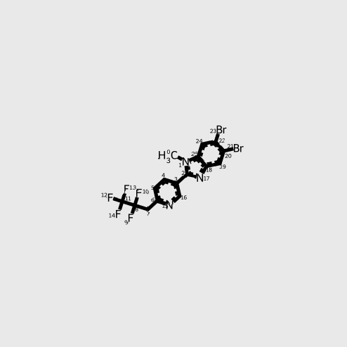 Cn1c(-c2ccc(CC(F)(F)C(F)(F)F)nc2)nc2cc(Br)c(Br)cc21